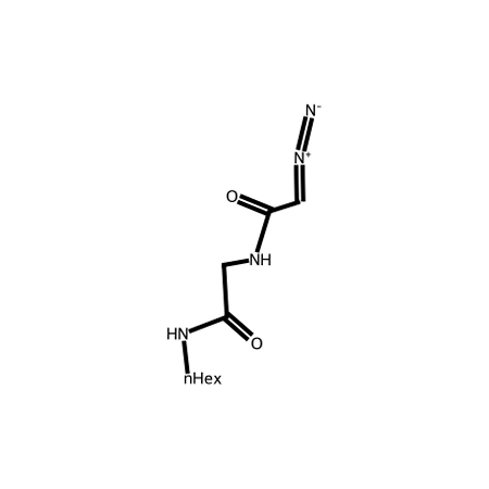 CCCCCCNC(=O)CNC(=O)C=[N+]=[N-]